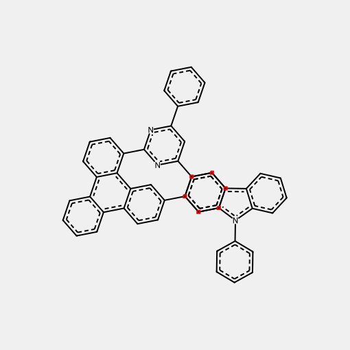 c1ccc(-c2cc(-c3ccccc3)nc(-c3cccc4c5ccccc5c5ccc(-c6ccc7c8ccccc8n(-c8ccccc8)c7c6)cc5c34)n2)cc1